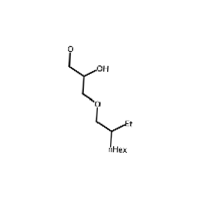 CCCCCCC(CC)COCC(O)C[O]